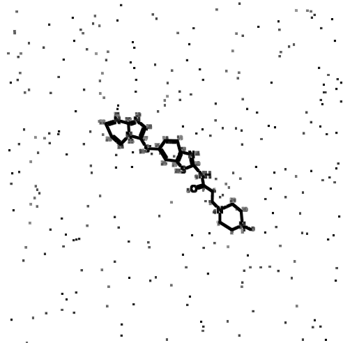 CN1CCN(CCC(=O)Nc2nc3ccc(Sc4cnc5ncccn45)cc3s2)CC1